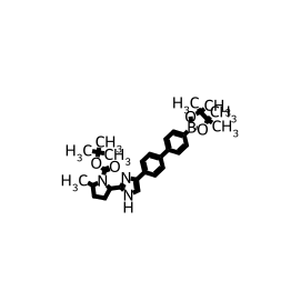 CC1CCC(c2nc(-c3ccc(-c4ccc(B5OC(C)(C)C(C)(C)O5)cc4)cc3)c[nH]2)N1C(=O)OC(C)(C)C